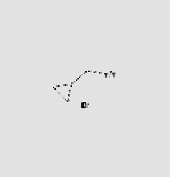 Br.CCCCC1CC1